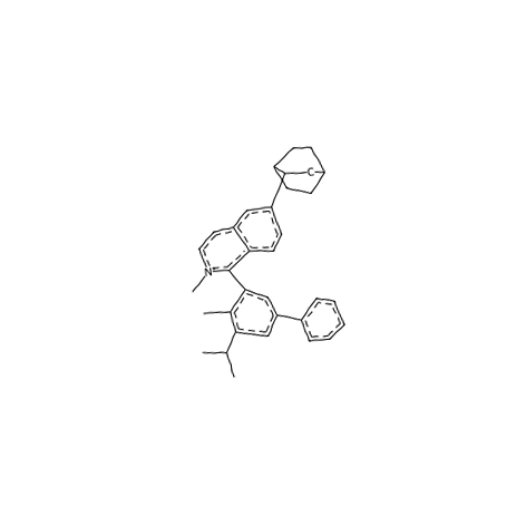 Cc1c(-c2c3ccc(C4CC5CCC4CC5)cc3cc[n+]2C)cc(-c2ccccc2)cc1C(C)C